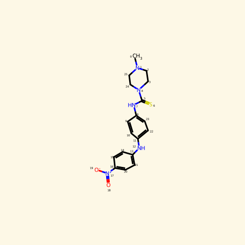 CN1CCN(C(=S)Nc2ccc(Nc3ccc([N+](=O)[O-])cc3)cc2)CC1